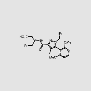 COc1cccc(OC)c1-c1c(C)c(C(=O)N[C@H](CC(=O)O)CC(C)C)nn1CC(C)C